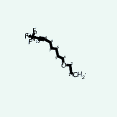 [CH2]CCOCCCCCC#CC(F)(F)F